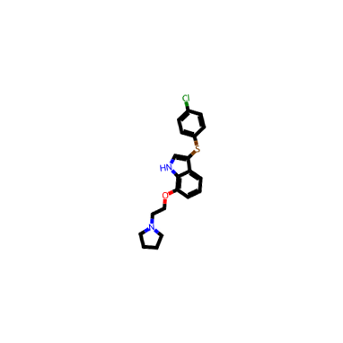 Clc1ccc(Sc2c[nH]c3c(OCCN4CCCC4)cccc23)cc1